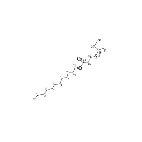 CCCCCCCCCCCCOC(=O)CCSC(C)CC